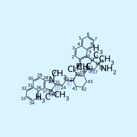 Cc1ccc2ccccc2c1C(C)(C)C(C)(N)/C=C/C1=C(Cl)C(=C/C=C2\N(C)c3ccc4ccccc4c3C2(C)C)/CCC1